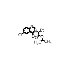 C=C(C)OC(=O)[C@H](CC)n1cnc2ccc(Cl)cc2c1=O